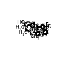 Cc1ccccc1Oc1ccc(CN(C)C[C@H]2Oc3c(NC(=O)C(C)c4ccc(C(F)(F)F)cc4)cccc3C(=O)N([C@@H](C)CO)C[C@H]2C)cc1